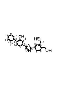 Cc1cc(-c2nc(-c3ccc(CO)c(CO)c3)no2)ccc1-c1ccccc1F